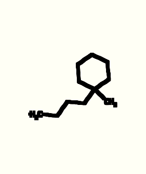 [CH2]CCCC1(C)CCCCC1